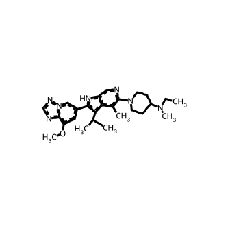 CCN(C)C1CCN(c2ncc3[nH]c(-c4cc(OC)c5ncnn5c4)c(C(C)C)c3c2C)CC1